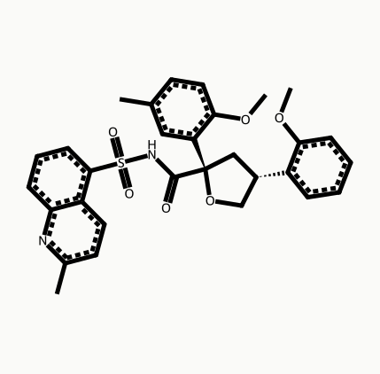 COc1ccccc1[C@@H]1CO[C@@](C(=O)NS(=O)(=O)c2cccc3nc(C)ccc23)(c2cc(C)ccc2OC)C1